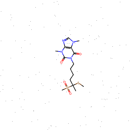 CSC(C)(CCCCn1c(=O)c2c(ncn2C)n(C)c1=O)S(C)(=O)=O